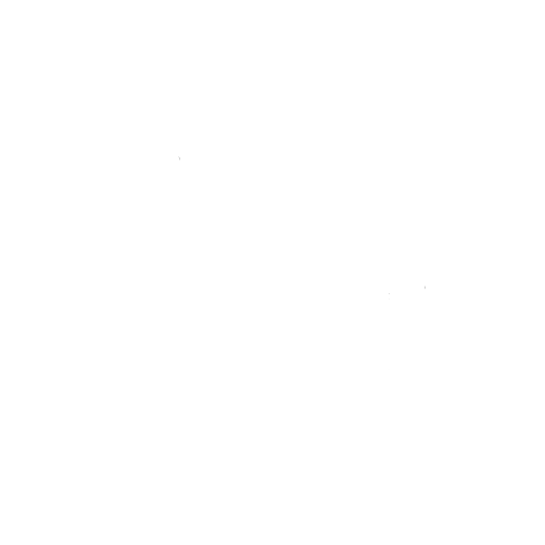 O=c1c2ccccc2c2cc3c(cc12)c1ccccc1c1c(=O)c2ccccc2c31